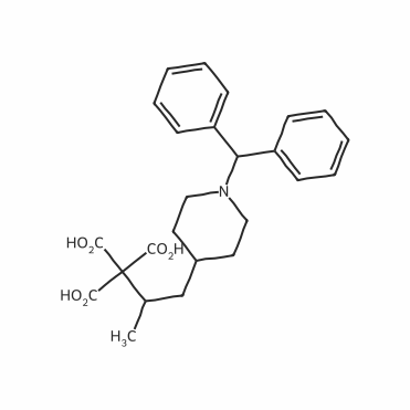 CC(CC1CCN(C(c2ccccc2)c2ccccc2)CC1)C(C(=O)O)(C(=O)O)C(=O)O